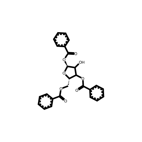 O=C(OC[C@@H]1O[C@@H](OC(=O)c2ccccc2)C(O)C1OC(=O)c1ccccc1)c1ccccc1